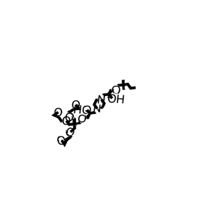 CCCC(C)(C)COCC(O)CN1CCN(CC(O)COCC(COCC2CO2)(COCC2CO2)COCC2CO2)CC1